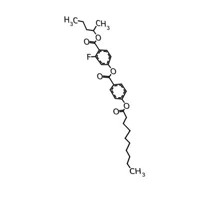 CCCCCCCCCC(=O)Oc1ccc(C(=O)Oc2ccc(C(=O)OC(C)CCC)c(F)c2)cc1